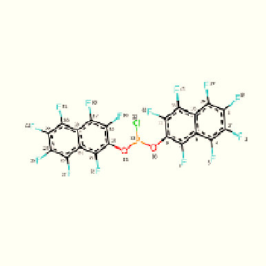 Fc1c(F)c(F)c2c(F)c(OP(Cl)Oc3c(F)c(F)c4c(F)c(F)c(F)c(F)c4c3F)c(F)c(F)c2c1F